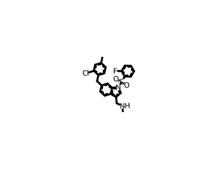 CNCc1cn(S(=O)(=O)c2ccccc2F)c2cc(Cc3ccc(C)cc3Cl)ccc12